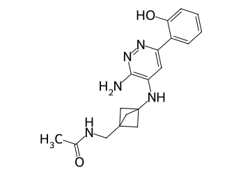 CC(=O)NCC12CC(Nc3cc(-c4ccccc4O)nnc3N)(C1)C2